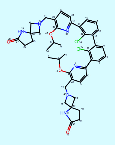 CC(C)Oc1nc(-c2cccc(-c3cccc(-c4ccc(CN5CC6(CCC(=O)N6)C5)c(OC(C)C)n4)c3Cl)c2Cl)ccc1CN1CC2(CCC(=O)N2)C1